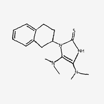 CN(C)c1[nH]c(=S)n(C2CCc3ccccc3C2)c1N(C)C